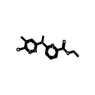 CCOC(=O)c1cccc(N(C)c2cc(C)c(Cl)nn2)n1